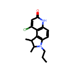 CCCN1c2ccc3[nH]c(=O)cc(Cl)c3c2C(C)C1C